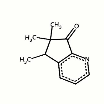 CC1c2cccnc2C(=O)C1(C)C